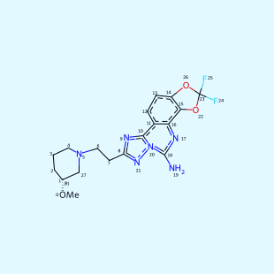 CO[C@@H]1CCCN(CCc2nc3c4ccc5c(c4nc(N)n3n2)OC(F)(F)O5)C1